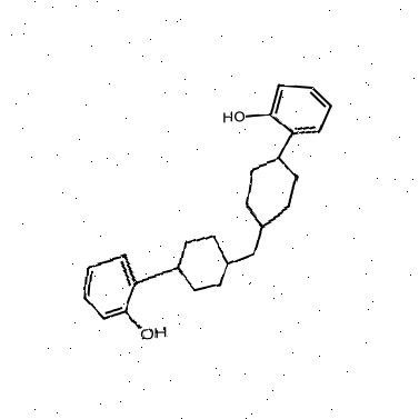 Oc1ccccc1C1CCC(CC2CCC(c3ccccc3O)CC2)CC1